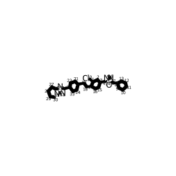 Clc1cc(-c2nnc(-c3ccccc3)o2)ccc1C=Cc1ccc(-c2nc3ccccn3n2)cc1